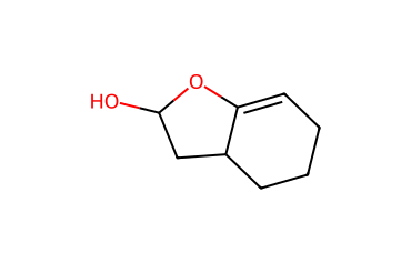 OC1CC2CCCC=C2O1